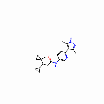 Cc1n[nH]c(C)c1-c1ccc(NC(=O)CC(C2CC2)C2(C)CC2)cn1